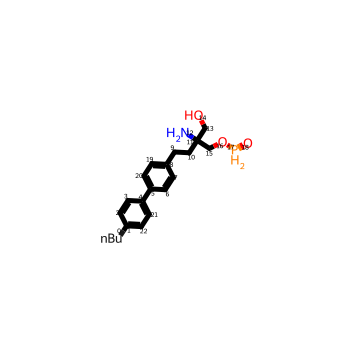 CCCCc1ccc(-c2ccc(CCC(N)(CO)CO[PH2]=O)cc2)cc1